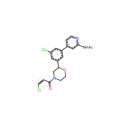 CC(=O)Nc1cc(-c2cc(Cl)cc(C3CN(C(=O)/C=C\Cl)CCO3)c2)ccn1